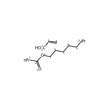 C=CC(=O)O.CCCC(=O)OCCCCCC(C)C